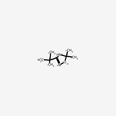 CC1(C)NC(C(C)(C)C)=NO1